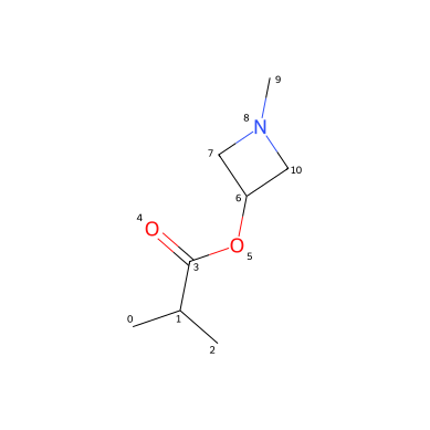 CC(C)C(=O)OC1CN(C)C1